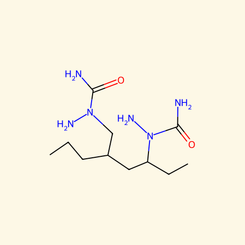 CCCC(CC(CC)N(N)C(N)=O)CN(N)C(N)=O